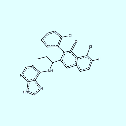 CCC(Nc1ncnc2[nH]cnc12)c1cc2ccc(F)c(Cl)c2c(=O)n1-c1ccccc1Cl